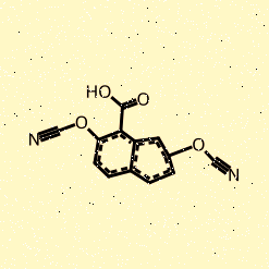 N#COc1ccc2ccc(OC#N)c(C(=O)O)c2c1